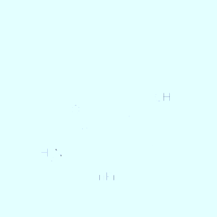 CCCC1(C(N)=O)CC1(C)c1ccccc1